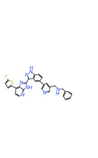 Fc1ccc(-c2ccnc3[nH]c(-c4n[nH]c5ccc(-c6cncc(CNCc7ccccc7)c6)cc45)nc23)s1